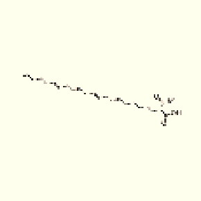 CCCCC/C=C/C/C=C/C/C=C/C/C=C/CCCCCC(C(=O)O)[N+](=O)[O-]